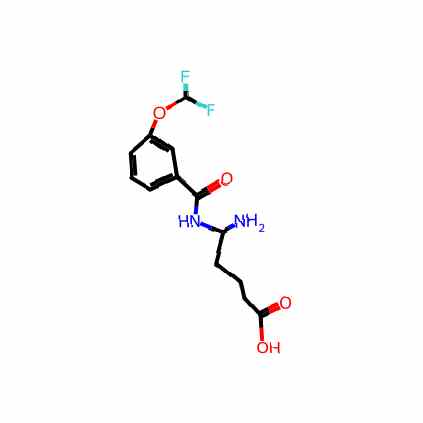 NC(CCCC(=O)O)NC(=O)c1cccc(OC(F)F)c1